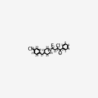 O=C(c1ccccc1)C(Cl)CC(F)N1CCC(Cc2ccc(Cl)cc2)CC1